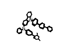 CC1CC=C(c2ccc(N(C3=CCC4C(=C3)N(c3ccc(-c5ccc(-c6ccccc6)cc5)cc3)C3CCCCC43)c3ccccc3)cc2)C(C)C1